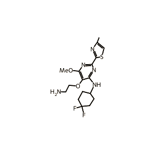 COc1nc(-c2nc(C)cs2)nc(NC2CCC(F)(F)CC2)c1OCCN